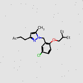 CCC(CC)COc1ccc(Cl)cc1Cn1nc(CCC(C)=O)cc1C